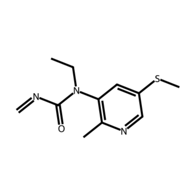 C=NC(=O)N(CC)c1cc(SC)cnc1C